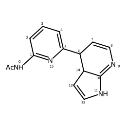 CC(=O)Nc1cccc(C2C=CN=C3NC=CC32)n1